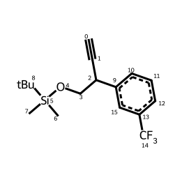 C#CC(CO[Si](C)(C)C(C)(C)C)c1cccc(C(F)(F)F)c1